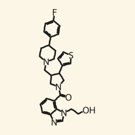 O=C(c1cccc2ncn(CCO)c12)N1CC(CN2CCC(c3ccc(F)cc3)CC2)C(c2ccsc2)C1